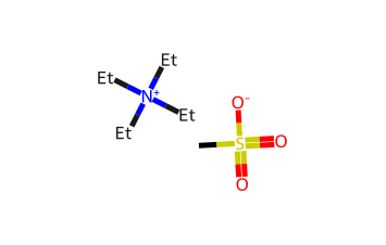 CC[N+](CC)(CC)CC.CS(=O)(=O)[O-]